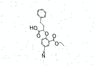 CCOC(=O)c1cc(C#N)ccc1OC(CCc1ccccc1)C(=O)O